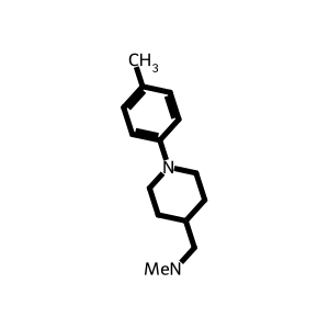 CNCC1CCN(c2ccc(C)cc2)CC1